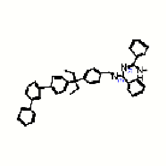 CCC(CC)(c1ccc(C/N=C(\N=C(/NC)c2ccccc2)c2ccccc2)cc1)c1ccc(-c2cccc(-c3ccccc3)c2)cc1